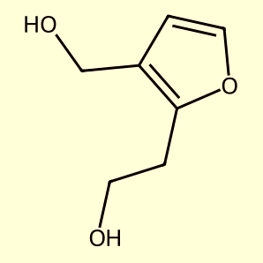 OCCc1occc1CO